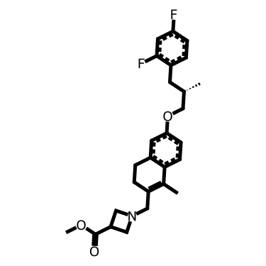 COC(=O)C1CN(CC2=C(C)c3ccc(OC[C@@H](C)Cc4ccc(F)cc4F)cc3CC2)C1